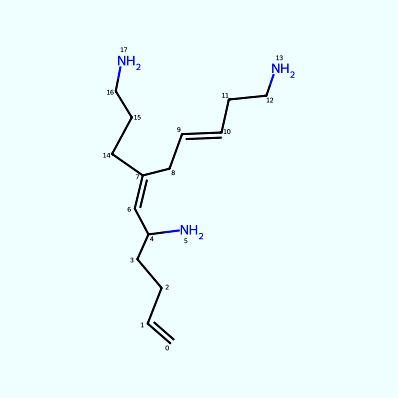 C=CCCC(N)C=C(CC=CCCN)CCCN